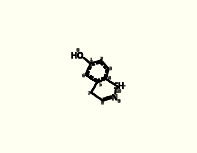 Oc1ccc2c(c1)CC=N[SH]2